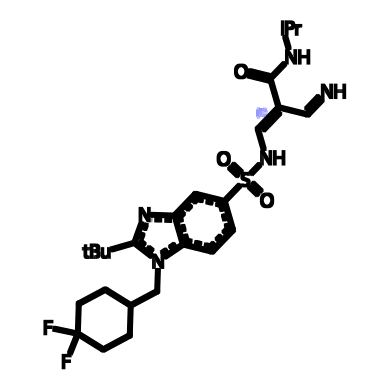 CC(C)NC(=O)/C(C=N)=C/NS(=O)(=O)c1ccc2c(c1)nc(C(C)(C)C)n2CC1CCC(F)(F)CC1